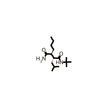 CCCC[C@H](C(N)=O)[C@@H](CC(C)C)C(=O)NC(C)(C)C